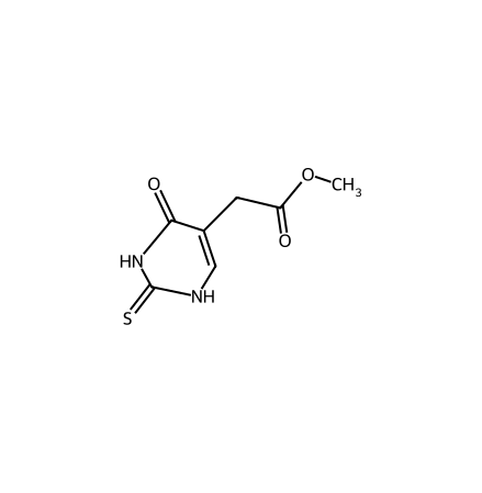 COC(=O)Cc1c[nH]c(=S)[nH]c1=O